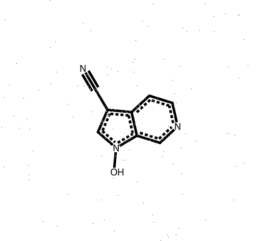 N#Cc1cn(O)c2cnccc12